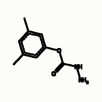 Cc1cc(C)cc(OC(=O)NN)c1